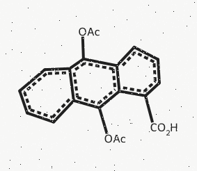 CC(=O)Oc1c2ccccc2c(OC(C)=O)c2c(C(=O)O)cccc12